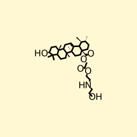 C[C@@H]1CC[C@]2(C(=O)OCC(=O)OCCNCCO)CC[C@]3(C)C(=CCC4[C@@]5(C)CC[C@H](O)C(C)(C)C5CC[C@]43C)C2[C@H]1C